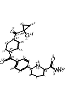 CNC(=O)C1CCCC(c2ccc(C(=O)N3CCN(C(=O)C4(O)CC4)CC3)cc2)N1